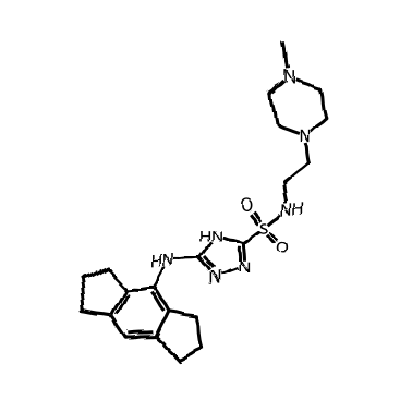 CN1CCN(CCNS(=O)(=O)c2nnc(Nc3c4c(cc5c3CCC5)CCC4)[nH]2)CC1